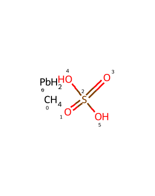 C.O=S(=O)(O)O.[PbH2]